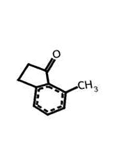 Cc1cccc2c1C(=O)CC2